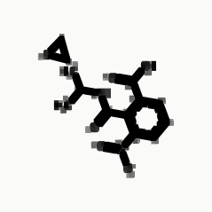 C1CS1.CC(C)NC(=O)c1c(C(=O)O)cccc1[N+](=O)[O-]